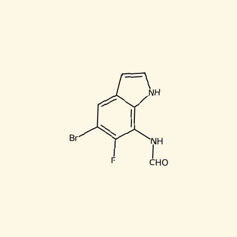 O=CNc1c(F)c(Br)cc2cc[nH]c12